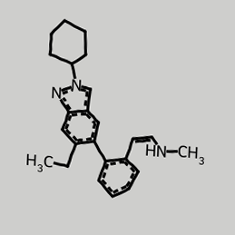 CCc1cc2nn(C3CCCCC3)cc2cc1-c1ccccc1/C=C\NC